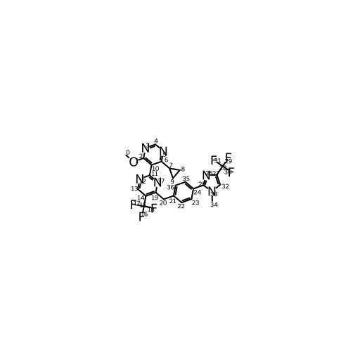 COc1ncnc(C2CC2)c1-c1ncc(C(F)(F)F)c(Cc2ccc(-c3nc(C(F)(F)F)cn3C)cc2)n1